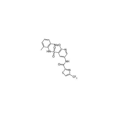 COc1ncc(NC(=O)c2nc(C(F)(F)F)cs2)cc1S(=O)(=O)Nc1c(C)cccc1C